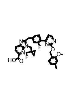 COc1cc(C)ccc1COc1nccc(-c2ccc(Cc3nc4ccc(C(=O)O)nc4n3CC3(CF)CC3)cc2F)n1